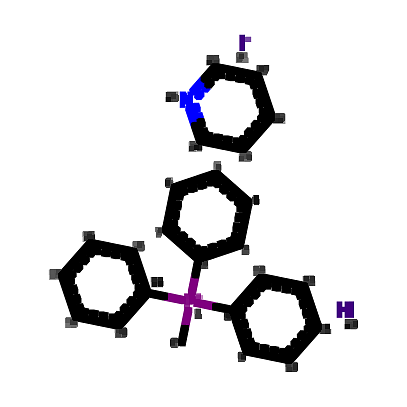 C[P+](c1ccccc1)(c1ccccc1)c1ccccc1.I.[I-].c1ccncc1